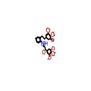 COc1cc(C=Cc2ccccc2NC=CC(=O)c2cc(OC)c(OC)c(OC)c2)cc(OC)c1OC